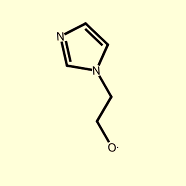 [O]CCn1ccnc1